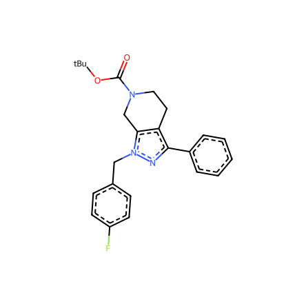 CC(C)(C)OC(=O)N1CCc2c(-c3ccccc3)nn(Cc3ccc(F)cc3)c2C1